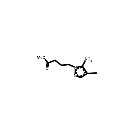 COC(=O)CCCn1ncc(C)c1[N+](=O)[O-]